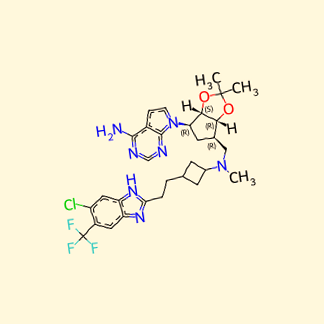 CN(C[C@H]1C[C@@H](n2ccc3c(N)ncnc32)[C@@H]2OC(C)(C)O[C@H]12)C1CC(CCc2nc3cc(C(F)(F)F)c(Cl)cc3[nH]2)C1